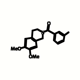 COc1cc2c(cc1OC)CN(C(=O)c1cccc(C)c1)CC2